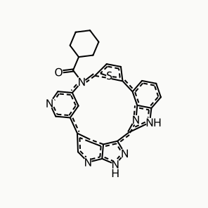 O=C(C1CCCCC1)n1c2cncc(c2)c2cnc3[nH]nc(c4nc5c(cccc5c5ccc1s5)[nH]4)c3c2